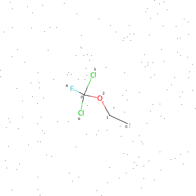 [CH2]COC(F)(Cl)Cl